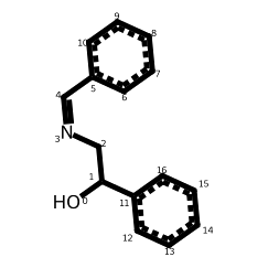 OC(C/N=C\c1ccccc1)c1ccccc1